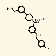 Cl.Cl.NCc1cccc(C2CCN(C(=O)c3cccc(NCc4ccc(Br)cc4)c3)CC2)c1